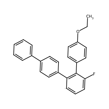 CCOc1ccc(-c2c(-c3ccc(-c4ccccc4)cc3)[c]ccc2F)cc1